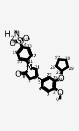 COc1ccc([C@H]2CC(=O)N(c3ccc(S(N)(=O)=O)cc3)C2)cc1OC1CCCC1